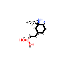 NC1(C(=O)O)CCCC(CCB(O)O)C1